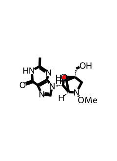 CON1C[C@]2(CO)O[C@@H](n3cnc4c(=O)[nH]c(C)nc43)[C@H]1[C@@H]2O